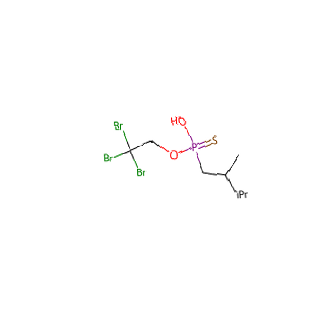 CC(C)C(C)CP(O)(=S)OCC(Br)(Br)Br